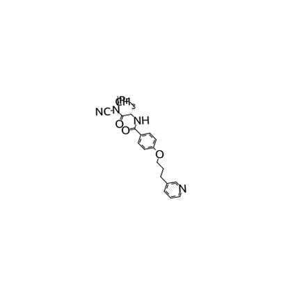 CC(C)C[C@H](NC(=O)c1ccc(OCCCc2cccnc2)cc1)C(=O)N(C)C#N